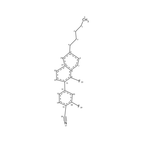 CCCCCc1ccc2c(F)c(-c3ccc(C#N)c(F)c3)ccc2c1